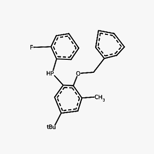 Cc1cc(C(C)(C)C)cc(Pc2ccccc2F)c1OCc1ccccc1